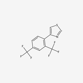 FC(F)(F)c1ccc(-c2cs[c]n2)c(C(F)(F)F)c1